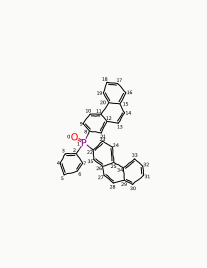 O=P(c1ccccc1)(c1ccc2c(ccc3ccccc32)c1)c1ccc2c(ccc3ccccc32)c1